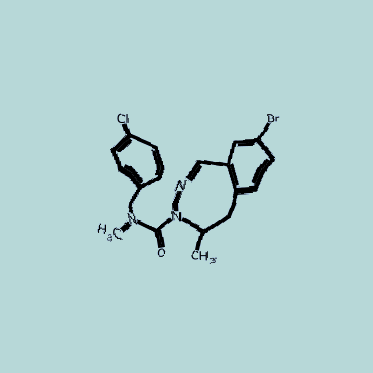 CC1Cc2ccc(Br)cc2C=NN1C(=O)N(C)c1ccc(Cl)cc1